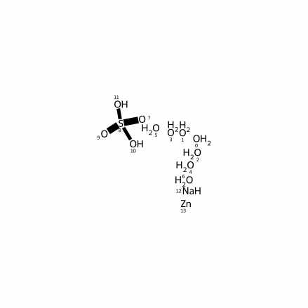 O.O.O.O.O.O.O.O=S(=O)(O)O.[NaH].[Zn]